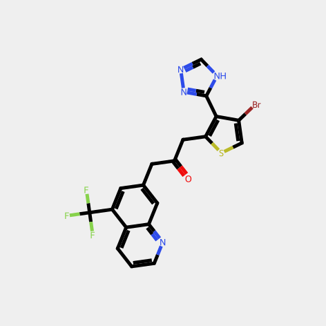 O=C(Cc1cc(C(F)(F)F)c2cccnc2c1)Cc1scc(Br)c1-c1nnc[nH]1